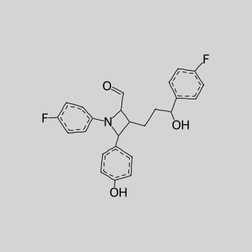 O=CC1C(CCC(O)c2ccc(F)cc2)C(c2ccc(O)cc2)N1c1ccc(F)cc1